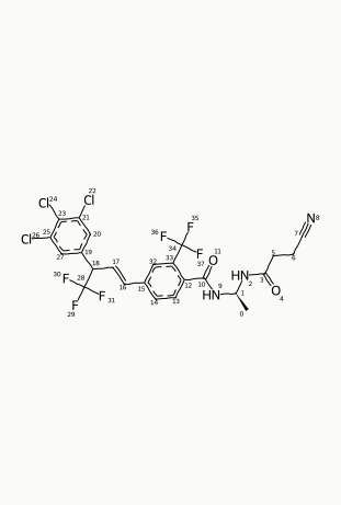 C[C@H](NC(=O)CCC#N)NC(=O)c1ccc(C=CC(c2cc(Cl)c(Cl)c(Cl)c2)C(F)(F)F)cc1C(F)(F)F